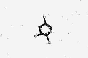 Clc1cnc(Cl)c(Br)c1